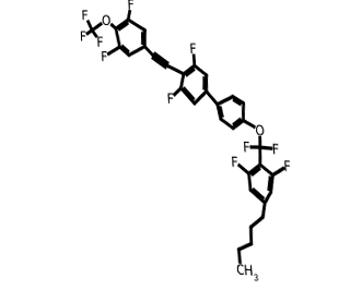 CCCCCc1cc(F)c(C(F)(F)Oc2ccc(-c3cc(F)c(C#Cc4cc(F)c(OC(F)(F)F)c(F)c4)c(F)c3)cc2)c(F)c1